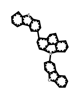 c1ccc2c(c1)oc1ccc(-n3c4cccc5ccc6c(-c7ccc8sc9ccccc9c8c7)ccc3c6c54)cc12